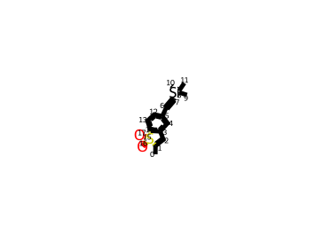 CC1=Cc2cc(C#C[Si](C)(C)C)ccc2S1(=O)=O